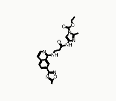 CCOC(=O)n1cc(NC(=O)CCNc2nccc3ccc(-c4noc(C)n4)cc23)nc1C